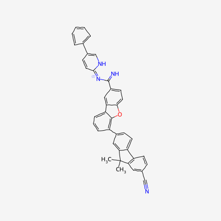 CC1(C)c2cc(C#N)ccc2-c2ccc(-c3cccc4c3oc3ccc(C(=N)/N=c5/ccc(-c6ccccc6)c[nH]5)cc34)cc21